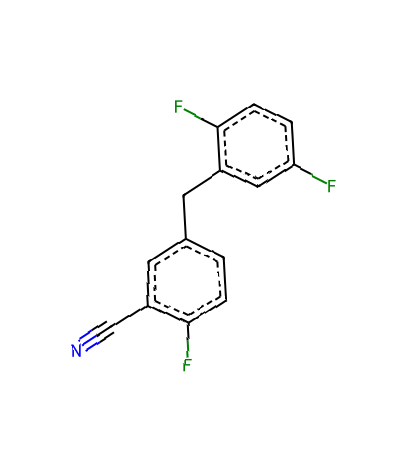 N#Cc1cc(Cc2cc(F)ccc2F)ccc1F